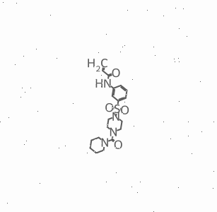 C=CC(=O)Nc1cccc(S(=O)(=O)N2CCN(C(=O)N3CCCCC3)CC2)c1